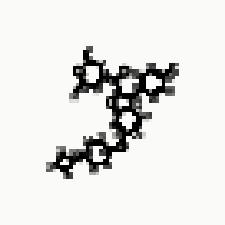 CC1CN(C(=O)c2oc3cc(OC4CCN(C5CCC5)CC4)ccc3c2-c2ccc(F)cc2)CC(C)O1